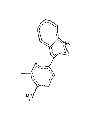 Cc1nc(-c2c[nH]c3ccccc23)ccc1N